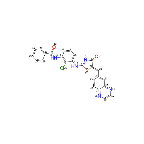 O=C1N=C(Nc2cccc(NC(=O)c3ccccc3)c2Cl)S/C1=C\c1ccc2nccnc2c1